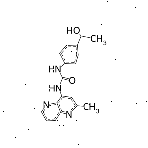 Cc1cc(NC(=O)Nc2ccc(C(C)O)cc2)c2ncccc2n1